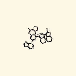 C[C@H](Oc1cc(-n2cncc3ccnc2-3)nc(/C(O)=C2\CCC[C@@]3(CCCc4sc(N)c(C#N)c43)C2=N)n1)[C@@H]1CCCN1C